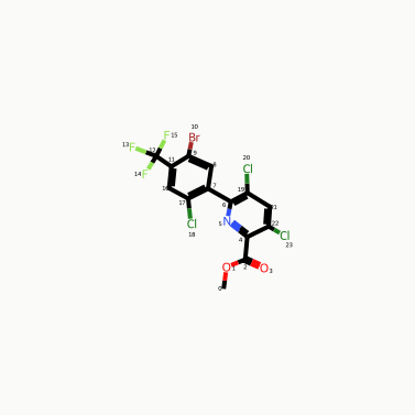 COC(=O)c1nc(-c2cc(Br)c(C(F)(F)F)cc2Cl)c(Cl)cc1Cl